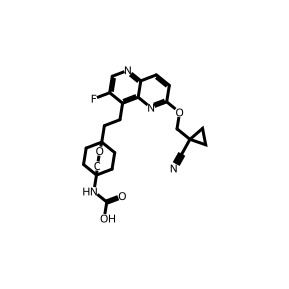 N#CC1(COc2ccc3ncc(F)c(CCC45CCC(NC(=O)O)(CC4)CO5)c3n2)CC1